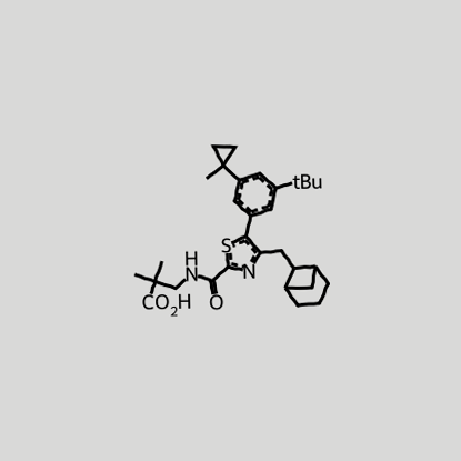 CC(C)(CNC(=O)c1nc(CC2C3CCCC2C3)c(-c2cc(C(C)(C)C)cc(C3(C)CC3)c2)s1)C(=O)O